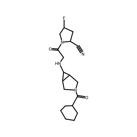 N#CC1CC(F)CN1C(=O)CNC1C2CN(C(=O)C3CCCCC3)CC21